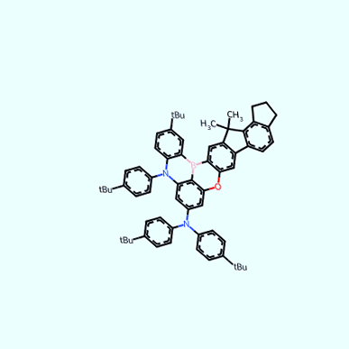 CC(C)(C)c1ccc(N(c2ccc(C(C)(C)C)cc2)c2cc3c4c(c2)N(c2ccc(C(C)(C)C)cc2)c2ccc(C(C)(C)C)cc2B4c2cc4c(cc2O3)-c2ccc3c(c2C4(C)C)CCC3)cc1